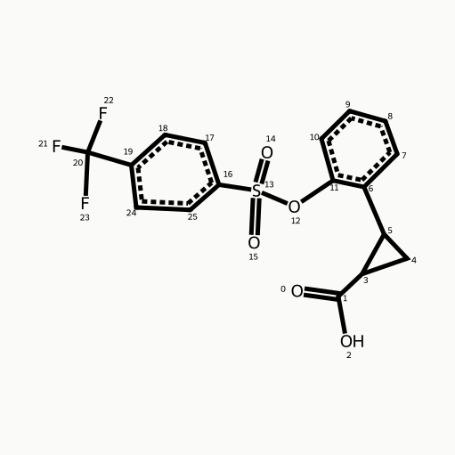 O=C(O)C1CC1c1ccccc1OS(=O)(=O)c1ccc(C(F)(F)F)cc1